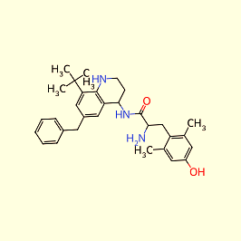 Cc1cc(O)cc(C)c1CC(N)C(=O)NC1CCNc2c1cc(Cc1ccccc1)cc2C(C)(C)C